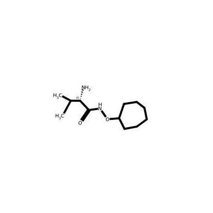 CC(C)[C@H](N)C(=O)NOC1CCCCCC1